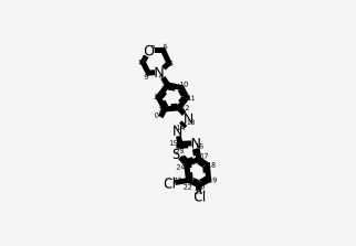 Cc1cc(N2CCOCC2)ccc1N=Nc1nc2ccc(Cl)c(Cl)c2s1